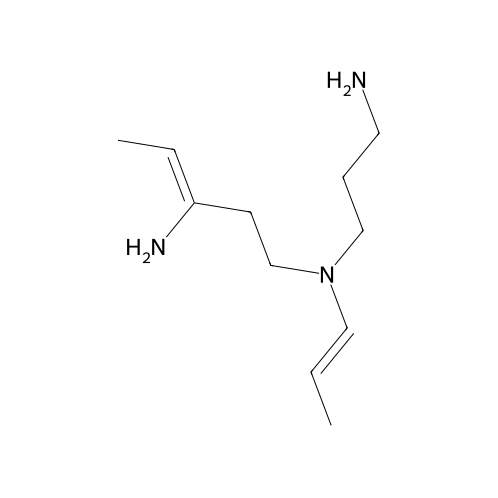 CC=CN(CCCN)CCC(N)=CC